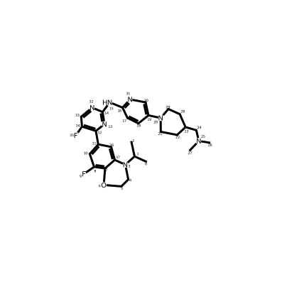 CC(C)N1CCOc2c(F)cc(-c3nc(Nc4ccc(N5CCC(CN(C)C)CC5)cn4)ncc3F)cc21